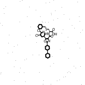 O=C(N[C@@H](CSCc1ccccc1)C(=O)O)c1nc(-c2ccc(-c3ccccc3)cc2)oc1-c1cnc(Cl)c(Cl)c1